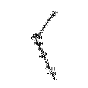 CCSCC(=O)NCCNC(=O)COCCOCCNC(=O)COCCOCCNC(=O)CC[C@@H](NC(=O)CCCCCCCCCCCCCCCCC(=O)O)C(=O)O